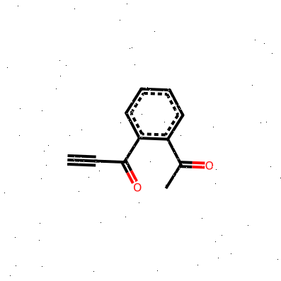 C#CC(=O)c1ccccc1C(C)=O